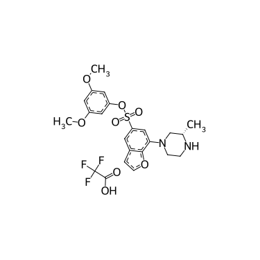 COc1cc(OC)cc(OS(=O)(=O)c2cc(N3CCN[C@@H](C)C3)c3occc3c2)c1.O=C(O)C(F)(F)F